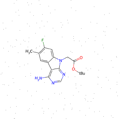 Cc1cc2c3c(N)ncnc3n(CC(=O)OC(C)(C)C)c2cc1F